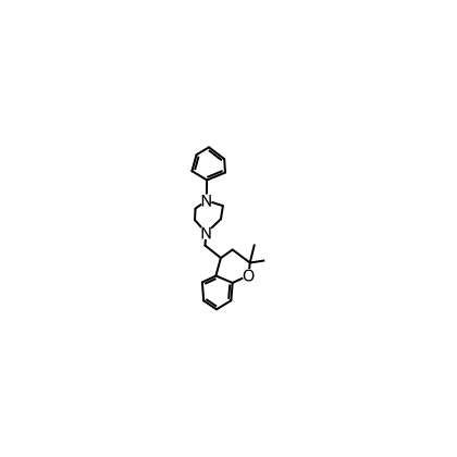 CC1(C)CC(CN2CCN(c3ccccc3)CC2)c2ccccc2O1